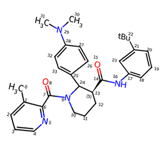 Cc1cccnc1C(=O)N1CCC[C@H](C(=O)Nc2cccc(C(C)(C)C)c2)C1c1ccc(N(C)C)cc1